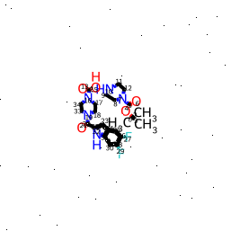 CC(C)(C)OC(=O)N1CCNCC1.O=C(O)N1CCN(C(=O)c2cc3cc(F)c(F)cc3[nH]2)CC1